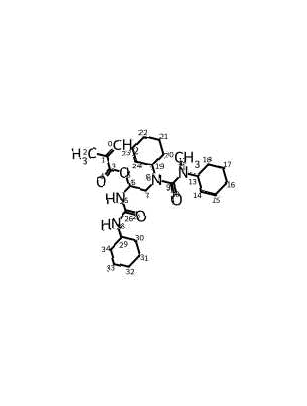 C=C(C)C(=O)OC(CN(C(=O)N(C)C1CCCCC1)C1CCCCC1)NC(=O)NC1CCCCC1